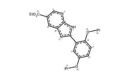 CCOC(=O)c1cnc2[nH]c(-c3cc(OC(C)C)ccc3OC(C)C)nc2c1